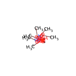 CCCCCCCCCCCCCC(=O)O[C@H](CCCCCCCCCCC)CC(=O)N[C@H]1[C@H](OC[C@@H]2CCCN2C(=O)C[C@@H](CCCCCCCCCCC)OC(=O)CCCCCCCCCCCCC)O[C@H](CO)[C@@H](OP(=O)(Oc2ccccc2)Oc2ccccc2)[C@@H]1OC(=O)C[C@@H](CCCCCCCCCCC)OC(=O)CCCCCCCCCCCCC